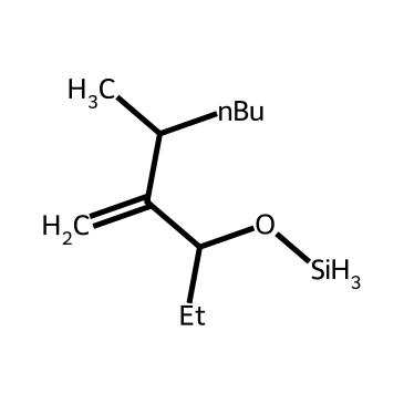 C=C(C(C)CCCC)C(CC)O[SiH3]